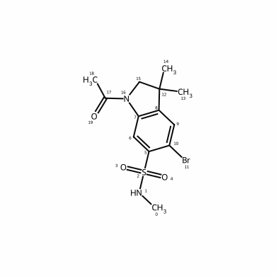 CNS(=O)(=O)c1cc2c(cc1Br)C(C)(C)CN2C(C)=O